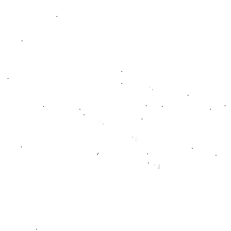 CCCCCP(=O)(O)ONCCNCCN.N